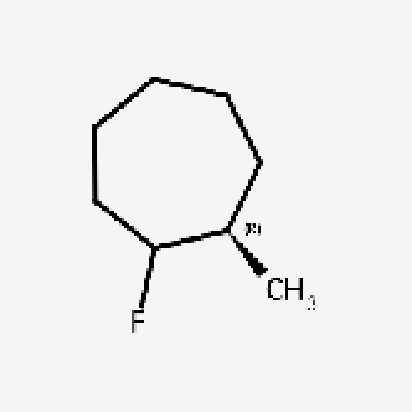 C[C@@H]1CCCCCC1F